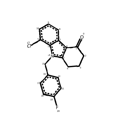 O=C1CCCc2c1c1cccc(Cl)c1n2Cc1ccc(F)cc1